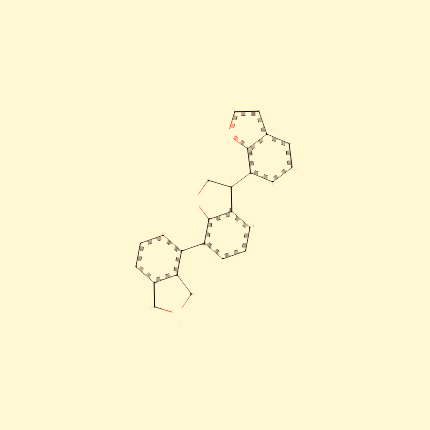 c1cc2c(c(-c3cccc4c3OCC4c3cccc4ccoc34)c1)COC2